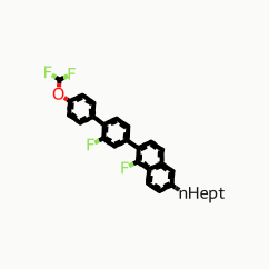 CCCCCCCc1ccc2c(F)c(-c3ccc(-c4ccc(OC(F)F)cc4)c(F)c3)ccc2c1